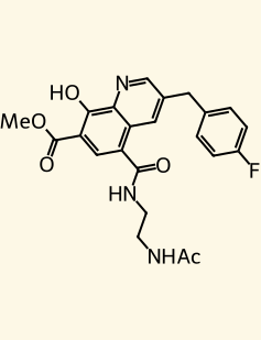 COC(=O)c1cc(C(=O)NCCNC(C)=O)c2cc(Cc3ccc(F)cc3)cnc2c1O